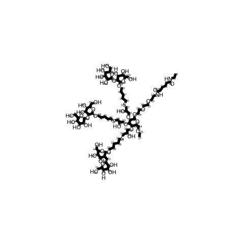 CCNC(=O)CCCCC(=O)NCCOCCOCCOC1OC(COCC)C(OCC(O)CSCCCCCO[C@@H]2OC(CO)[C@@H](O)[C@H](O)C2C[C@@H]2OC(CO)[C@@H](O)[C@H](O)C2O)C(OCC(O)CSCCCCCO[C@@H]2OC(CO)[C@@H](O)[C@H](O)C2O[C@@H]2OC(CO)[C@@H](O)[C@H](O)C2O)C1OCC(O)CSCCCCCO[C@@H]1OC(CO)[C@@H](O)[C@H](O)C1O[C@@H]1OC(CO)[C@@H](O)[C@H](O)C1O